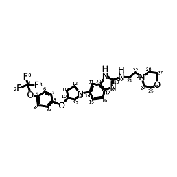 FC(F)(F)Oc1ccc(OC2CCN(c3ccc4nc(NCCN5CCOCC5)[nH]c4c3)C2)cc1